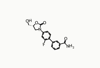 NC(=O)c1cccc(-c2ccc(N3C[C@H](CO)OC3=O)cc2F)c1